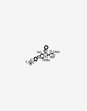 COC(=O)N[C@H](C(=O)NN(Cc1ccccc1)C[C@H](O)[C@H](Cc1ccc(OS(=O)(=O)C(F)(F)F)cc1)NC(=O)OC(C)(C)C)C(C)(C)C